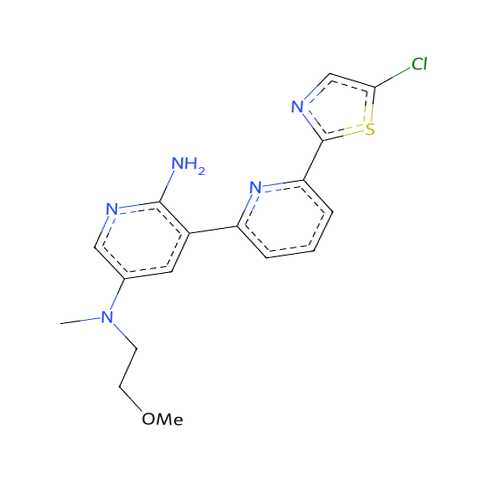 COCCN(C)c1cnc(N)c(-c2cccc(-c3ncc(Cl)s3)n2)c1